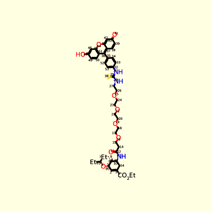 CCOC(=O)C1=C[C@@H](OC(CC)CC)[C@H](C)[C@@H](NC(=O)CCOCCOCCOCCOCCNC(=S)Nc2ccc(-c3c4ccc(=O)cc-4oc4cc(O)ccc34)cc2)C1